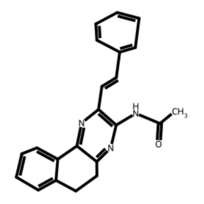 CC(=O)Nc1nc2c(nc1/C=C/c1ccccc1)-c1ccccc1CC2